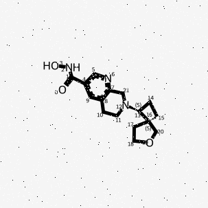 O=C(NO)c1cnc2c(c1)CCN([C@H]1CC[C@]13CCOC3)C2